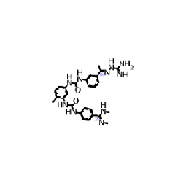 C/N=C(\NC)c1ccc(NC(=O)Nc2cc(NC(=O)Nc3cccc(/C(C)=N/NC(=N)N)c3)ccc2C)cc1